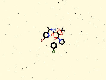 CC(NC(=O)[C@@H]1OC(C)(C)O[C@H]1C(=O)N1CCC[C@@H]1c1cccc(Cl)c1)c1ccc(Br)cn1